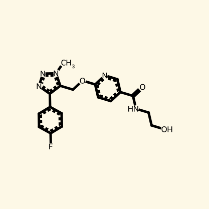 Cn1nnc(-c2ccc(F)cc2)c1COc1ccc(C(=O)NCCO)cn1